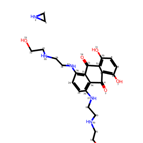 C1CN1.O=C1c2c(O)ccc(O)c2C(=O)c2c(NCCNCCO)ccc(NCCNCCO)c21